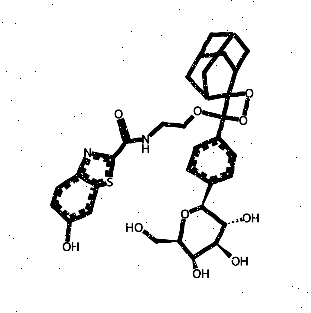 O=C(NCCOC1(c2ccc([C@@H]3O[C@H](CO)[C@H](O)[C@H](O)[C@H]3O)cc2)OOC12C1CC3CC(C1)CC2C3)c1nc2ccc(O)cc2s1